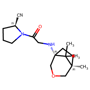 CC1(C)[C@@]2(C)CC[C@]1(NCC(=O)N1CCC[C@H]1C#N)COC2